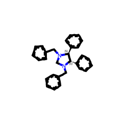 c1ccc(CN2CN(Cc3ccccc3)[C@@H](c3ccccc3)[C@@H]2c2ccccc2)cc1